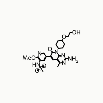 COc1ncc(-c2cc3c(C)nc(N)nc3n([C@H]3CC[C@H](OCCO)CC3)c2=O)cc1NS(C)(=O)=O